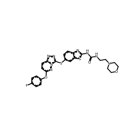 O=C(NCCN1CCOCC1)Nc1nc2ccc(Sc3nnc4ccc(Oc5ccc(F)cc5)nn34)cc2s1